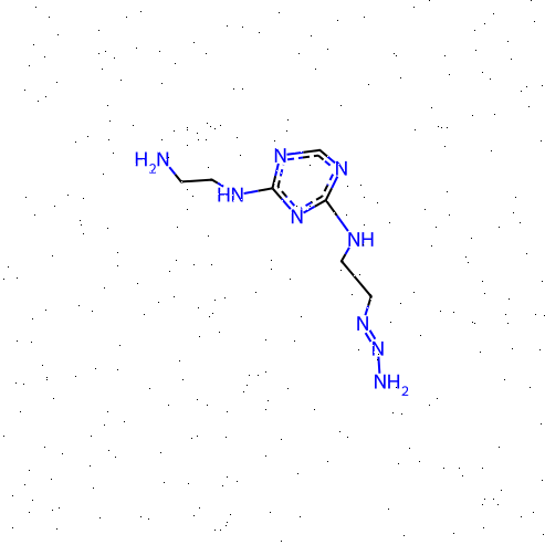 NCCNc1ncnc(NCCN=NN)n1